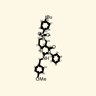 COc1ccc(CNc2nc3c(c(=O)n2-c2ccccc2)CN(S(=O)(=O)c2ccc(C(C)(C)C)cc2)CC3)cc1